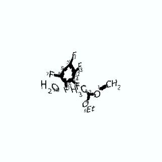 C=COC(C)OCC.Fc1cc(F)c(F)c(F)c1F.O